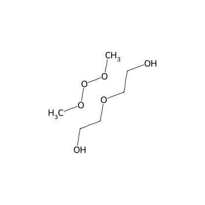 COOOC.OCCOCCO